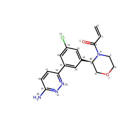 C=CC(=O)N1CCOC[C@H]1c1cc(Cl)cc(-c2ccc(N)nn2)c1